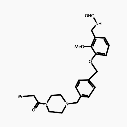 COc1c(CNC=O)cccc1OCc1ccc(CN2CCN(C(=O)CC(C)C)CC2)cc1